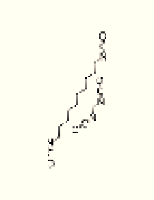 O=C=NCCCCCCCCCCN=C=O.O=C=NCN=C=O